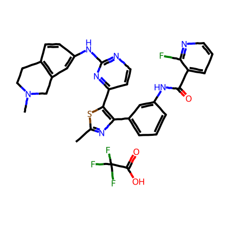 Cc1nc(-c2cccc(NC(=O)c3cccnc3F)c2)c(-c2ccnc(Nc3ccc4c(c3)CN(C)CC4)n2)s1.O=C(O)C(F)(F)F